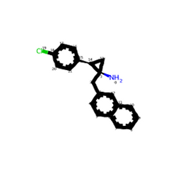 N[C@]1(Cc2ccc3ccccc3c2)C[C@@H]1c1ccc(Cl)cc1